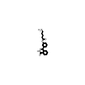 NCCCCC(=O)Oc1cccc(-c2n[nH]c(=O)c3ccccc23)c1